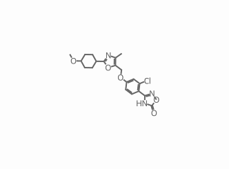 COC1CCC(c2nc(C)c(COc3ccc(-c4noc(=O)[nH]4)c(Cl)c3)o2)CC1